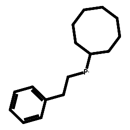 c1ccc(CC[P]C2CCCCCCC2)cc1